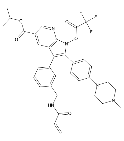 C=CC(=O)NCc1cccc(-c2c(-c3ccc(N4CCN(C)CC4)cc3)n(OC(=O)C(F)(F)F)c3ncc(C(=O)OC(C)C)cc23)c1